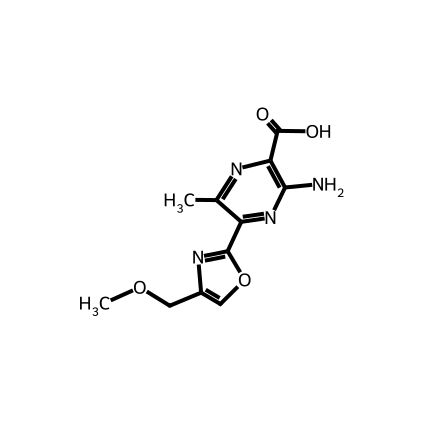 COCc1coc(-c2nc(N)c(C(=O)O)nc2C)n1